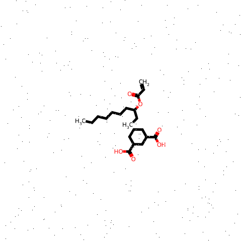 C=CC(=O)OC(CC)CCCCCCC.O=C(O)C1CCCC(C(=O)O)C1